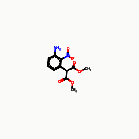 COC(=O)C(C(=O)OC)c1cccc(N)c1[N+](=O)[O-]